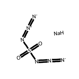 [N-]=[N+]=NS(=O)(=O)N=[N+]=[N-].[NaH]